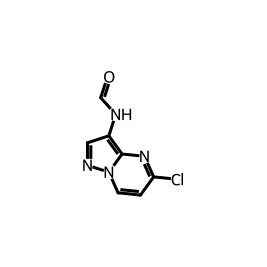 O=CNc1cnn2ccc(Cl)nc12